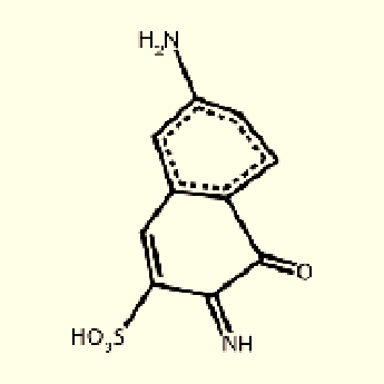 N=C1C(=O)c2ccc(N)cc2C=C1S(=O)(=O)O